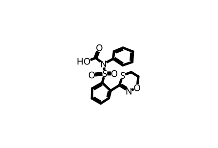 O=C(O)N(c1ccccc1)S(=O)(=O)c1ccccc1C1=NOCCS1